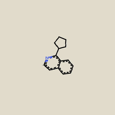 [c]1cc2ccccc2c(C2CCCC2)n1